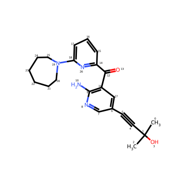 CC(C)(O)C#Cc1cnc(N)c(C(=O)c2cccc(N3CCCCCC3)n2)c1